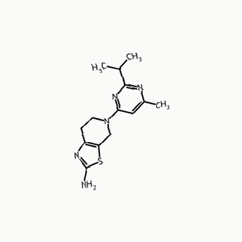 Cc1cc(N2CCc3nc(N)sc3C2)nc(C(C)C)n1